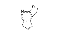 C1=Cc2c(cnc3c2CCO3)C1